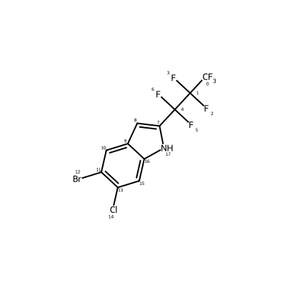 FC(F)(F)C(F)(F)C(F)(F)c1cc2cc(Br)c(Cl)cc2[nH]1